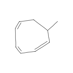 CC1C=CC=CC=CC1